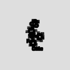 COc1ccc(-c2nn3c(c2-c2ccncc2)CN(C(=O)OC(C)(C)C)CC3)c(F)c1